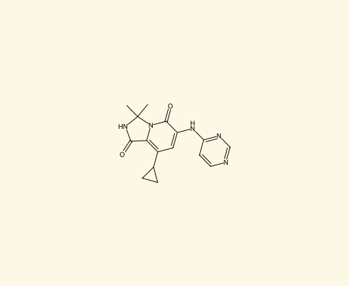 CC1(C)NC(=O)c2c(C3CC3)cc(Nc3ccncn3)c(=O)n21